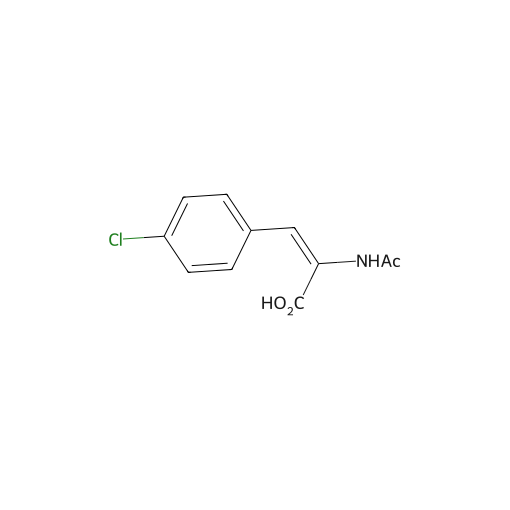 CC(=O)NC(=Cc1ccc(Cl)cc1)C(=O)O